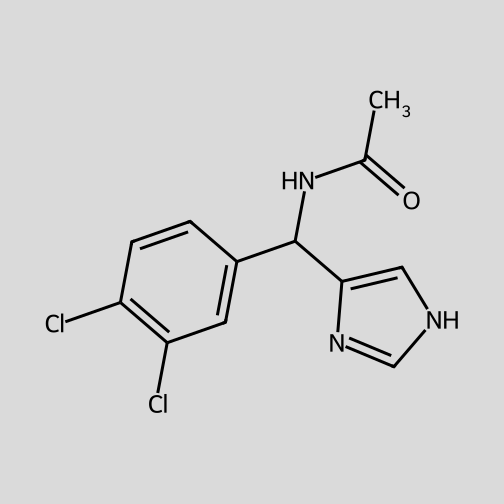 CC(=O)NC(c1ccc(Cl)c(Cl)c1)c1c[nH]cn1